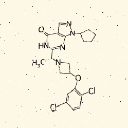 C[C@H](c1nc2c(cnn2C2CCCC2)c(=O)[nH]1)N1CC(Oc2cc(Cl)ccc2Cl)C1